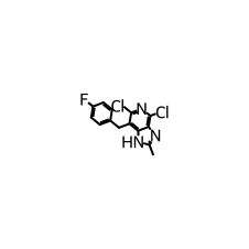 Cc1nc2c(Cl)nc(Cl)c(Cc3ccc(F)cc3)c2[nH]1